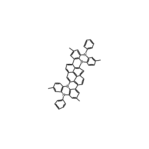 Cc1ccc2c(c1)N(c1ccccc1)c1cc(C)cc3c1B2c1cc2ccc4c5c(cc6ccc-3c1c6c25)B1c2ccc(C)cc2N(c2ccccc2)c2cc(C)cc-4c21